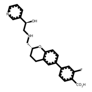 O=C(O)c1ccc(-c2ccc3c(c2)CC[C@H](CNC[C@H](O)c2cccnc2)O3)cc1F